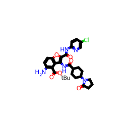 CC(C)(C)OC(=O)c1c(N)ccc2oc(C(=O)Nc3ccc(Cl)cn3)c(NC(=O)C3CCC(N4CCCC4=O)CC3)c12